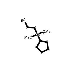 CO[Si](CCC(C)C)(OC)C1CCCC1